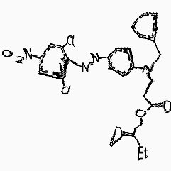 CCC(=O)COC(=O)CCN(Cc1ccccc1)c1ccc(/N=N/c2c(Cl)cc([N+](=O)[O-])cc2Cl)cc1